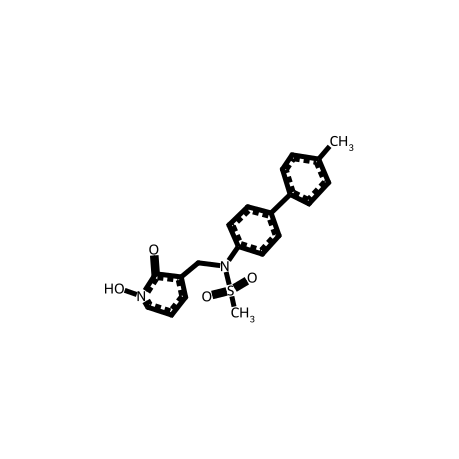 Cc1ccc(-c2ccc(N(Cc3cccn(O)c3=O)S(C)(=O)=O)cc2)cc1